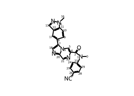 CN(C(=O)c1cn2c(-c3ccc4c(cnn4C)c3)cnc2cn1)c1ccc(C#N)cc1